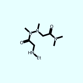 CCNCC(=O)N(C)N(C)CC(=O)N(C)C